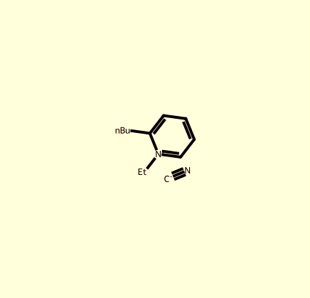 CCCCc1cccc[n+]1CC.[C-]#N